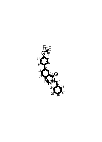 O=c1c2cc(-c3ccc(OC(F)(F)F)cc3)ccc2nnn1Cc1ccccc1